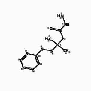 CC(C)(CC(=O)NN)SSc1ccccn1